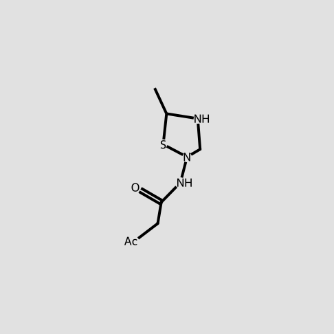 CC(=O)CC(=O)NN1CNC(C)S1